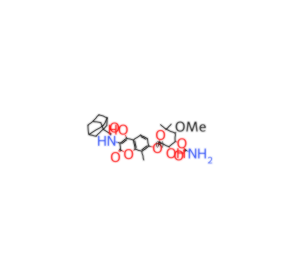 COC1C(OC(N)=O)C(O)[C@H](Oc2ccc3c(O)c(NC(=O)C45CC6CC(CC(C6)C4)C5)c(=O)oc3c2C)OC1(C)C